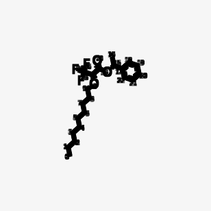 CCCCCCCCCCOC(C(=O)OC(C)c1ccccc1)C(F)(F)F